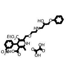 CCOC(=O)C1=C(COCCNCC(O)COc2ccccc2)NC(C)=C(C(=O)OC)C1c1cccc([N+](=O)[O-])c1.O=C(O)C(=O)O